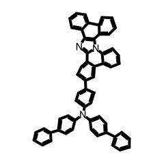 c1ccc(-c2ccc(N(c3ccc(-c4ccccc4)cc3)c3ccc(-c4ccc5c(c4)c4ccccc4n4c5nc5c6ccccc6c6ccccc6c54)cc3)cc2)cc1